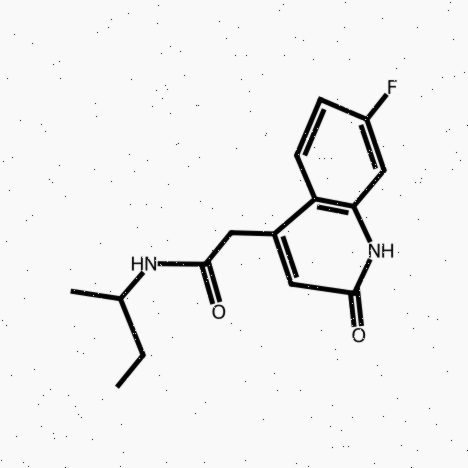 CCC(C)NC(=O)Cc1cc(=O)[nH]c2cc(F)ccc12